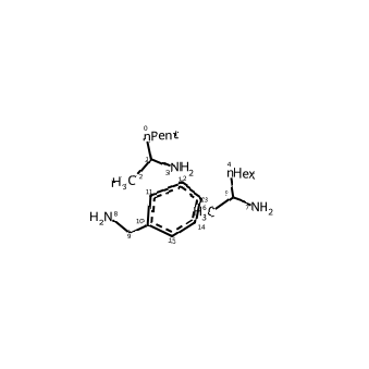 CCCCCC(C)N.CCCCCCC(C)N.NCc1ccccc1